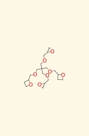 C1CC(COCC(COCC2CCO2)(COCC2CO2)COCC2CO2)O1